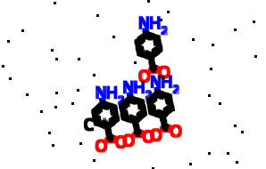 Nc1ccc(C(=O)[O-])cc1.Nc1ccc(C(=O)[O-])cc1.Nc1ccc(C(=O)[O-])cc1.Nc1ccc(C(=O)[O-])cc1.[C+4]